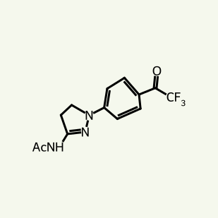 CC(=O)NC1=NN(c2ccc(C(=O)C(F)(F)F)cc2)CC1